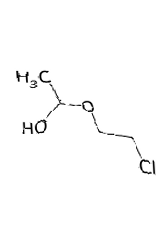 C[C](O)OCCCl